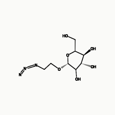 [N-]=[N+]=NCCO[C@@H]1OC(CO)[C@@H](O)[C@H](O)C1O